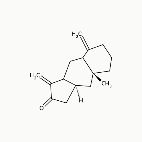 C=C1C(=O)C[C@@H]2C[C@@]3(C)CCCC(=C)C3CC12